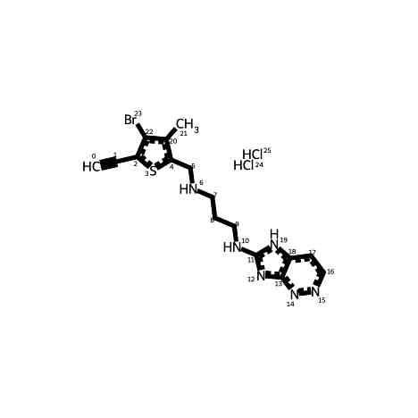 C#Cc1sc(CNCCCNc2nc3nnccc3[nH]2)c(C)c1Br.Cl.Cl